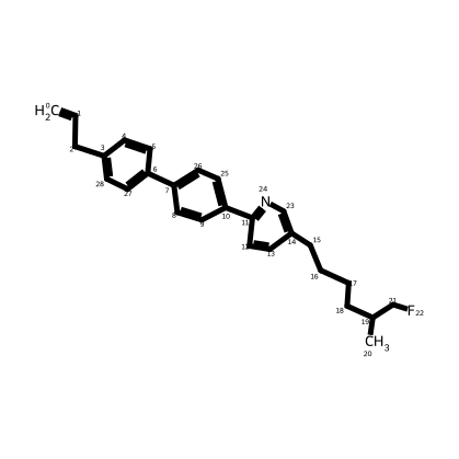 C=CCc1ccc(-c2ccc(-c3ccc(CCCCC(C)CF)cn3)cc2)cc1